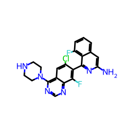 Nc1cc2cccc(F)c2c(-c2c(Cl)cc3c(N4CCNCC4)ncnc3c2F)n1